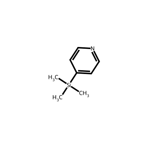 C[Si](C)(C)c1ccncc1